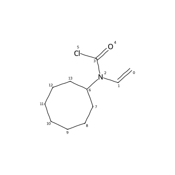 C=CN(C(=O)Cl)C1CCCCCCC1